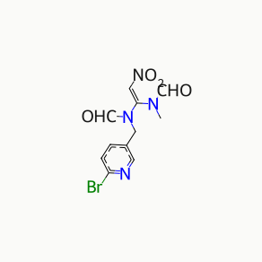 CN(C=O)C(=C[N+](=O)[O-])N(C=O)Cc1ccc(Br)nc1